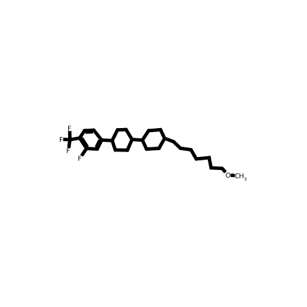 COCCCCCCCC1CCC(C2CCC(c3ccc(C(F)(F)F)c(F)c3)CC2)CC1